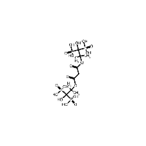 CC(C)(OC(=O)CC(=O)OC(C)(C)C(O)(P(=O)(O)O)P(=O)(O)O)C(O)(P(=O)(O)O)P(=O)(O)O